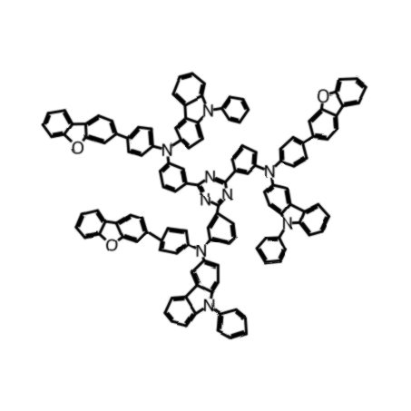 c1ccc(-n2c3ccccc3c3cc(N(c4ccc(-c5ccc6c(c5)oc5ccccc56)cc4)c4cccc(-c5nc(-c6cccc(N(c7ccc(-c8ccc9c(c8)oc8ccccc89)cc7)c7ccc8c(c7)c7ccccc7n8-c7ccccc7)c6)nc(-c6cccc(N(c7ccc(-c8ccc9c(c8)oc8ccccc89)cc7)c7ccc8c(c7)c7ccccc7n8-c7ccccc7)c6)n5)c4)ccc32)cc1